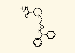 NC(=O)C1CCCN(CCON=C(c2ccccc2)c2ccccc2)C1